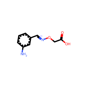 Nc1cccc(/C=N/OCC(=O)O)c1